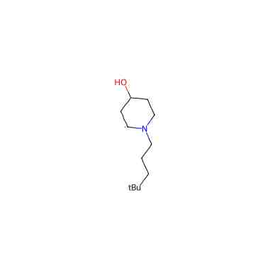 CC(C)(C)CCCN1[CH]CC(O)CC1